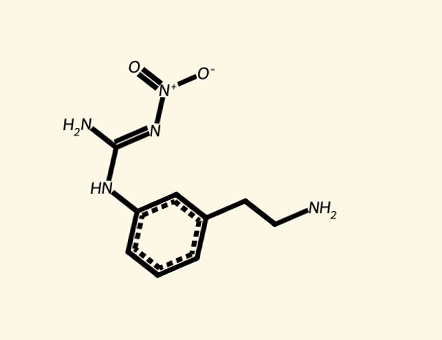 NCCc1cccc(NC(N)=N[N+](=O)[O-])c1